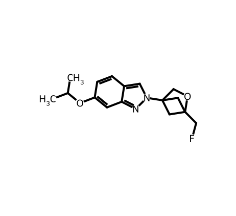 CC(C)Oc1ccc2cn(C34COC(CF)(C3)C4)nc2c1